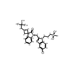 CS(=O)(=O)CCCn1c(CN2C(=O)C3(CN(CC(F)(F)F)C3)c3ccccc32)nc2cc(Cl)ccc21